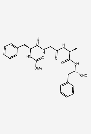 COC(=O)N[C@@H](Cc1ccccc1)C(=O)NCC(=O)N[C@@H](C)C(=O)N[C@H](C=O)Cc1ccccc1